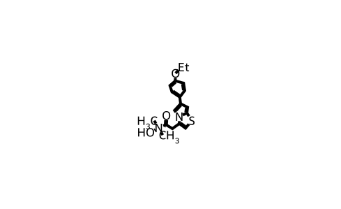 CCOc1ccc(-c2cc3scc(CC(=O)[N+](C)(C)O)n3c2)cc1